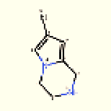 CCc1cc2n(c1)CCNC2